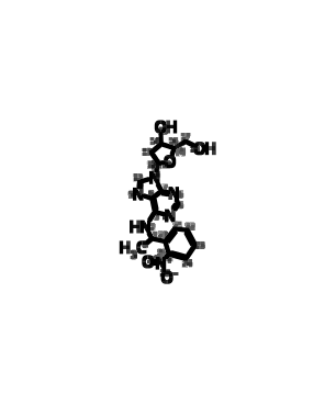 CC(Nc1ncnc2c1ncn2[C@H]1CC(O)[C@@H](CO)O1)c1ccccc1[N+](=O)[O-]